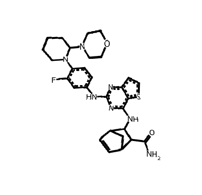 NC(=O)C1C2C=CC(C2)C1Nc1nc(Nc2ccc(N3CCCCC3N3CCOCC3)c(F)c2)nc2ccsc12